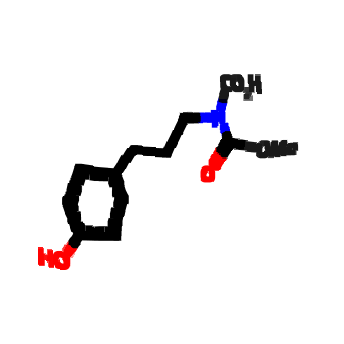 COC(=O)N(CCCc1ccc(O)cc1)C(=O)O